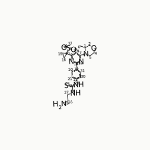 C[C@H]1COCCN1c1cc(C2(S(C)(=O)=O)CC2)nc(-c2ccc(NC(=S)NCCN)cc2)n1